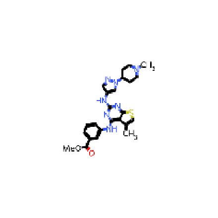 COC(=O)c1cccc(Nc2nc(Nc3cnn(C4CCN(C)CC4)c3)nc3scc(C)c23)c1